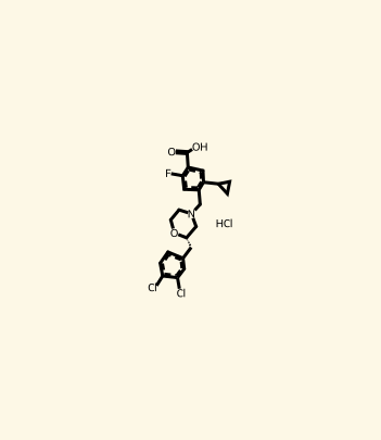 Cl.O=C(O)c1cc(C2CC2)c(CN2CCO[C@@H](Cc3ccc(Cl)c(Cl)c3)C2)cc1F